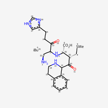 CC[C@H](C)[C@H](N)C(N[C@H](C(=O)O)[C@H](CSC)C(=O)C1NCCc2ccccc21)C(=O)CCc1c[nH]cn1